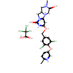 Cc1ccc(Oc2c(F)cc(COc3cc4n(c(=O)n3)CC3CN(C)C(=O)CN43)cc2F)cn1.O=C(O)C(F)(F)F